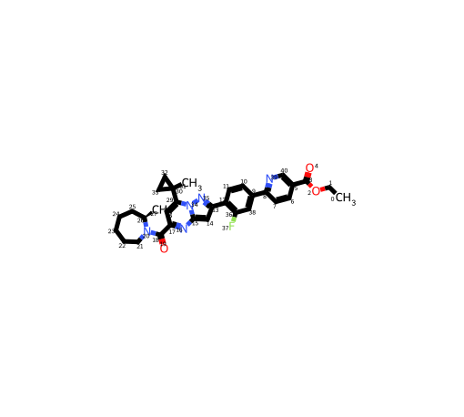 CCOC(=O)c1ccc(-c2ccc(-c3cc4nc(C(=O)N5CCCCC[C@H]5C)cc(C5(C)CC5)n4n3)c(F)c2)nc1